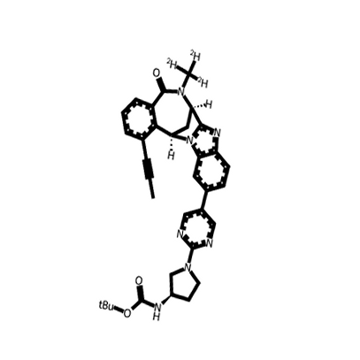 [2H]C([2H])([2H])N1C(=O)c2cccc(C#CC)c2[C@H]2C[C@@H]1c1nc3ccc(-c4cnc(N5CC[C@@H](NC(=O)OC(C)(C)C)C5)nc4)cc3n12